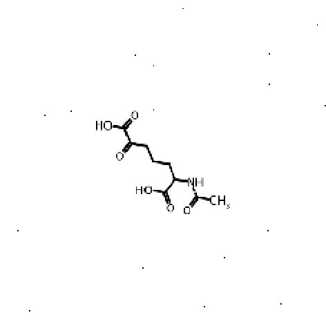 CC(=O)NC(CCCC(=O)C(=O)O)C(=O)O